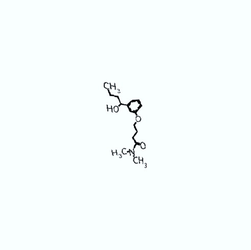 CCCC(O)c1cccc(OCCCC(=O)N(C)C)c1